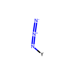 [N-]=[N+]=[N][Y]